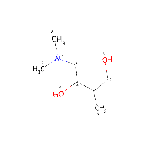 CC(CO)C(O)CN(C)C